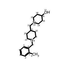 Cc1ccccc1CN1CCC(CN2CCC(O)CC2)CC1